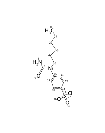 CCCCCCN(C(N)=O)c1ccc(S(=O)(=O)Cl)cc1